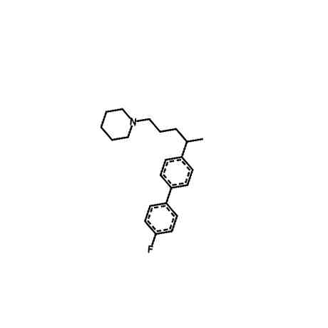 CC(CCCN1CCCCC1)c1ccc(-c2ccc(F)cc2)cc1